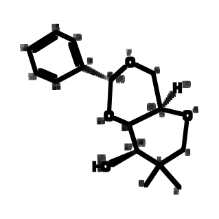 CC1(C)CO[C@@H]2CO[C@@H](c3ccccc3)OC2[C@@H]1O